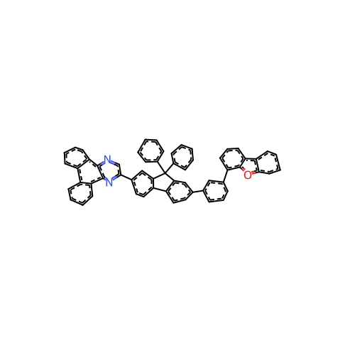 c1ccc(C2(c3ccccc3)c3cc(-c4cccc(-c5cccc6c5oc5ccccc56)c4)ccc3-c3ccc(-c4cnc5c6ccccc6c6ccccc6c5n4)cc32)cc1